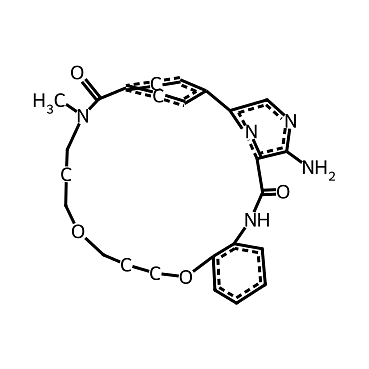 CN1CCCOCCCOc2ccccc2NC(=O)c2nc(cnc2N)-c2ccc(cc2)C1=O